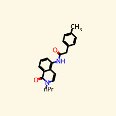 CCCn1ccc2c(NC(=O)Cc3ccc(C)cc3)cccc2c1=O